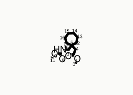 COC(=O)CC1(CNC(=O)OC)CCCCCC1